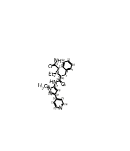 CCN(CC(N)=O)[C@@H](Cc1ccccc1)C(=O)Nc1cc(-c2ccncc2)nn1C